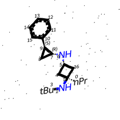 CCC[C@]1(NC(C)(C)C)C[C@H](N[C@@H]2C[C@H]2c2ccccc2)C1